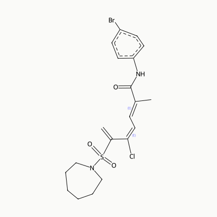 C=C(/C(Cl)=C\C=C(/C)C(=O)Nc1ccc(Br)cc1)S(=O)(=O)N1CCCCCC1